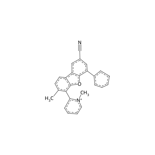 Cc1ccc2c(oc3c(-c4ccccc4)cc(C#N)cc32)c1-c1cccc[n+]1C